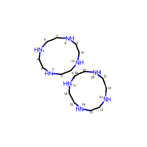 C1CNCCNCCNCCN1.C1CNCCNCCNCCN1